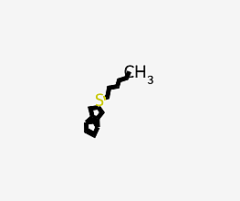 CCCCCCSC1CC2C3C=CC(C3)C2C1